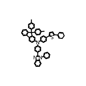 Cc1ccc(C2(c3ccc(C)cc3)c3ccccc3-c3ccc(N(c4ccc(-c5ccc(C6=CCCC=C6)s5)cc4)c4ccc(-c5nc6ccccc6n5-c5ccccc5)cc4)cc32)cc1